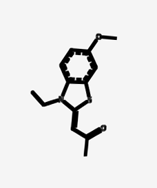 CCN1/C(=C/C(C)=O)Sc2cc(OC)ccc21